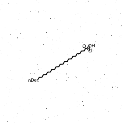 CCCCCCCCCCCCCCCCCCCCCCCCCCCCCCCCC(=O)N(O)Cl